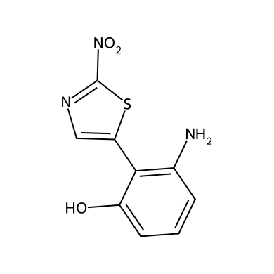 Nc1cccc(O)c1-c1cnc([N+](=O)[O-])s1